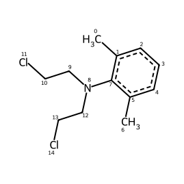 Cc1cccc(C)c1N(CCCl)CCCl